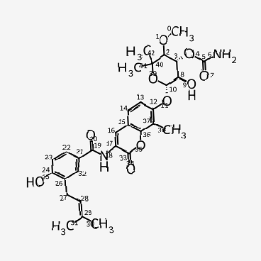 COC1[C@H](OC(N)=O)C(O)[C@H](Oc2ccc3cc(NC(=O)c4ccc(O)c(CC=C(C)C)c4)c(=O)oc3c2C)OC1(C)C